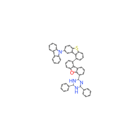 c1ccc(C2=NC(c3cccc4c3oc3cccc(-c5cccc6sc7ccc(-n8c9ccccc9c9ccccc98)cc7c56)c34)NC(c3ccccc3)N2)cc1